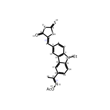 CCn1c2ccc(/C=C3\SC(=S)SC3=O)cc2c2cc(/C(C)=N/OC(C)=O)ccc21